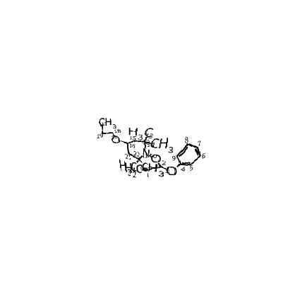 C=CC(Oc1ccccc1)ON1C(C)(C)CC(OCCC)CC1(C)C